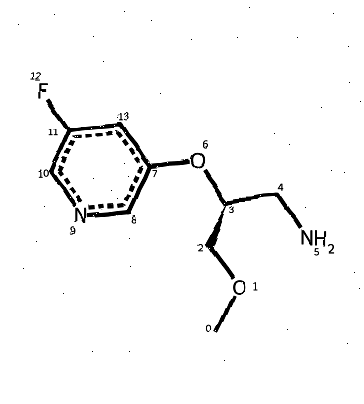 COC[C@H](CN)Oc1cncc(F)c1